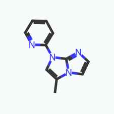 Cc1cn(-c2ccccn2)c2nccn12